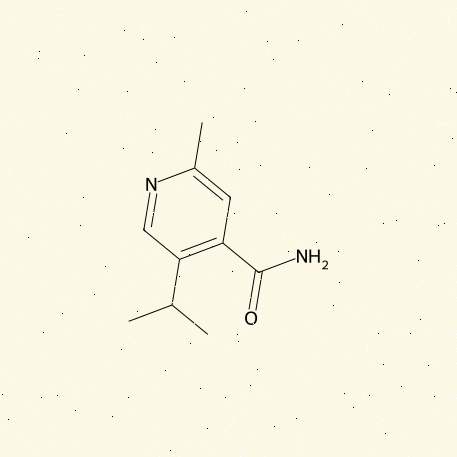 Cc1cc(C(N)=O)c(C(C)C)cn1